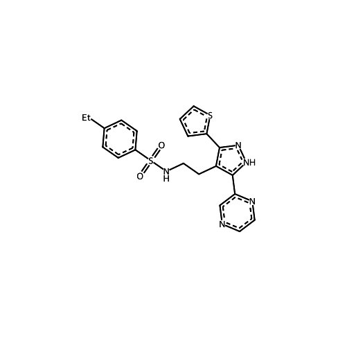 CCc1ccc(S(=O)(=O)NCCc2c(-c3cccs3)n[nH]c2-c2cnccn2)cc1